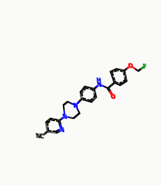 N#Cc1ccc(N2CCN(c3ccc(NC(=O)c4ccc(OCF)cc4)cc3)CC2)nc1